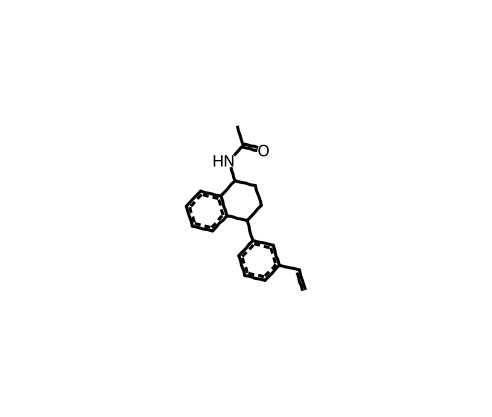 C=Cc1cccc(C2CCC(NC(C)=O)c3ccccc32)c1